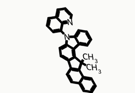 CC1(C)c2c(ccc3ccccc23)-c2ccc3c(c21)c1ccccc1n3-c1cccc2cccnc12